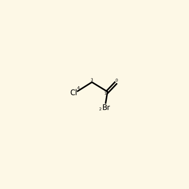 C=C(Br)CCl